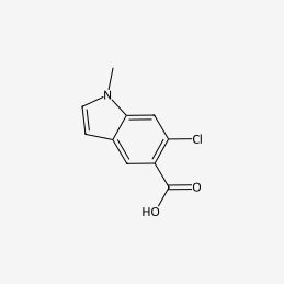 Cn1ccc2cc(C(=O)O)c(Cl)cc21